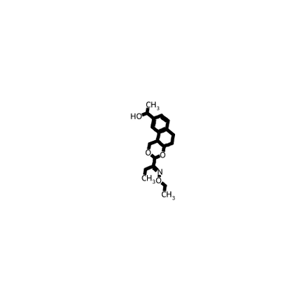 CCON=C(CC)C1OCC2c3cc(C(C)O)ccc3CCC2O1